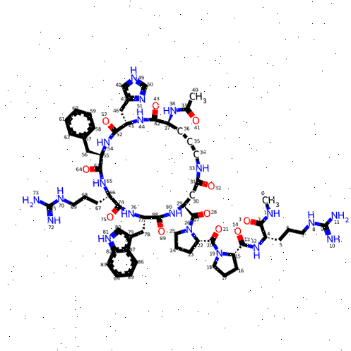 CNC(=O)[C@H](CCCNC(=N)N)NC(=O)[C@@H]1CCCN1C(=O)[C@@H]1CCCN1C(=O)[C@@H]1CC(=O)NCCC[C@H](NC(C)=O)C(=O)N[C@@H](Cc2c[nH]cn2)C(=O)N[C@H](Cc2ccccc2)C(=O)N[C@@H](CCCNC(=N)N)C(=O)N[C@@H](Cc2c[nH]c3ccccc23)C(=O)N1